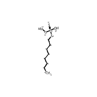 CCCCCCCCSP(O)(=S)[O][Mo]